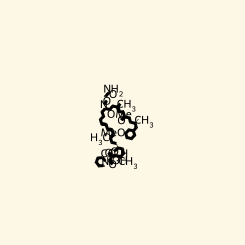 CO[C@H]1CCCC(C[C@@H](C)CCC(=O)C/C=C(\C)C[C@@H](OC)/C(CCC/C=C/C=C/C=C(\C)CC[C@@H]2CC[C@@H](C)[C@](O)(C(=O)C(=O)N3CCCCC3C(=O)O)O2)=N\OCC(N)=O)C1